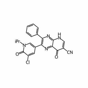 CC(C)n1cc(-c2nc3c(=O)c(C#N)c[nH]c3nc2-c2ccccc2)cc(Cl)c1=O